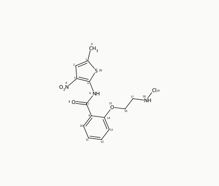 Cc1cc([N+](=O)[O-])c(NC(=O)c2ccccc2OCCNCl)s1